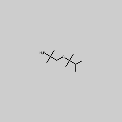 CC(C)C(C)(C)OCC(C)(C)P